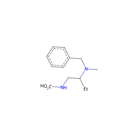 CCC(CNC(=O)O)N(C)Cc1ccccc1